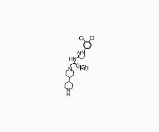 Cl.Cl.O=C(CN1CCC(C2CCNCC2)CC1)NC1=NN(c2ccc(Cl)c(Cl)c2)CC1